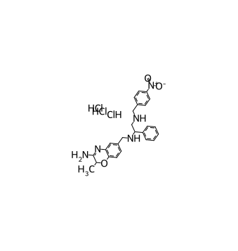 CC1Oc2ccc(CNC(CNCc3ccc([N+](=O)[O-])cc3)c3ccccc3)cc2N=C1N.Cl.Cl.Cl